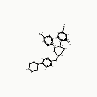 Clc1ccc([C@@H]2CN(Cc3ccc(N4CCOCC4)nc3)CCN2c2ccc(Cl)cc2Cl)cc1